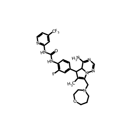 CC1=C(CN2CCCOCC2)N2N=CN=C(N)C2C1c1ccc(NC(=O)Nc2cc(C(F)(F)F)ccn2)c(F)c1